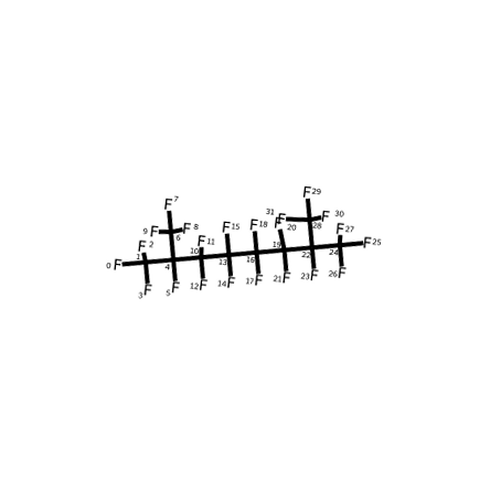 FC(F)(F)C(F)(C(F)(F)F)C(F)(F)C(F)(F)C(F)(F)C(F)(F)C(F)(C(F)(F)F)C(F)(F)F